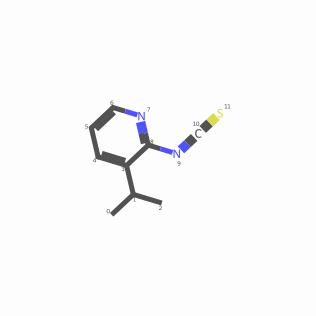 CC(C)c1cccnc1N=C=S